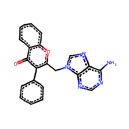 Nc1ncnc2c1ncn2Cc1oc2ccccc2c(=O)c1-c1ccccc1